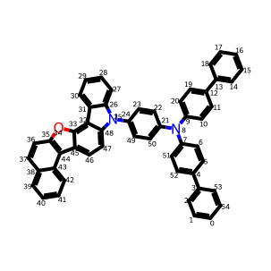 c1ccc(-c2ccc(N(c3ccc(-c4ccccc4)cc3)c3ccc(-n4c5ccccc5c5c6oc7ccc8ccccc8c7c6ccc54)cc3)cc2)cc1